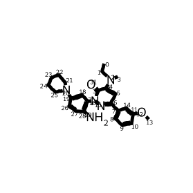 CCN(C)c1cc(-c2cccc(OC)c2)nn(-c2cc(N3CCCCC3)ccc2N)c1=O